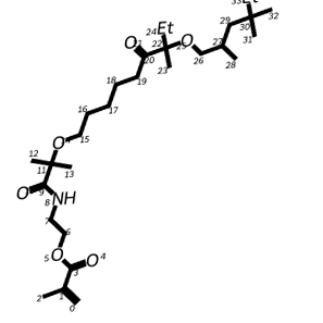 C=C(C)C(=O)OCCNC(=O)C(C)(C)OCCCCCC(=O)C(C)(CC)OCC(C)CC(C)(C)CC